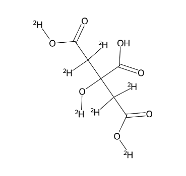 [2H]OC(=O)C([2H])([2H])C(O[2H])(C(=O)O)C([2H])([2H])C(=O)O[2H]